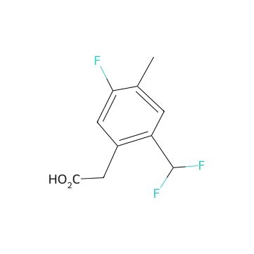 Cc1cc(C(F)F)c(CC(=O)O)cc1F